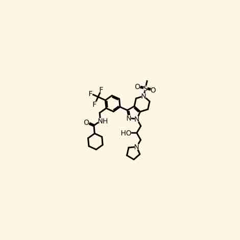 CS(=O)(=O)N1CCc2c(c(-c3ccc(C(F)(F)F)c(CNC(=O)C4CCCCC4)c3)nn2CC(O)CN2CCCC2)C1